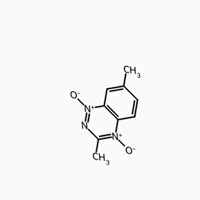 Cc1ccc2c(c1)[n+]([O-])nc(C)[n+]2[O-]